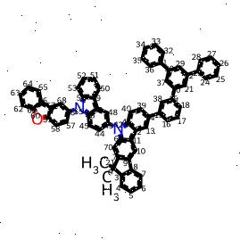 CC1(C)c2ccccc2-c2cc3c4cc(-c5cccc(-c6cc(-c7ccccc7)cc(-c7ccccc7)c6)c5)ccc4n(-c4ccc5c(c4)c4ccccc4n5-c4ccc5oc6ccccc6c5c4)c3cc21